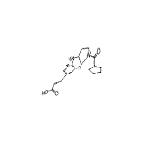 O=C(O)/C=C/c1cnc(NC2CCN(C(=O)C3CCCC3)C2)c(Cl)c1